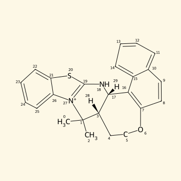 CC1(C)[C@H]2CCOc3ccc4ccccc4c3[C@H]2Nc2sc3ccccc3[n+]21